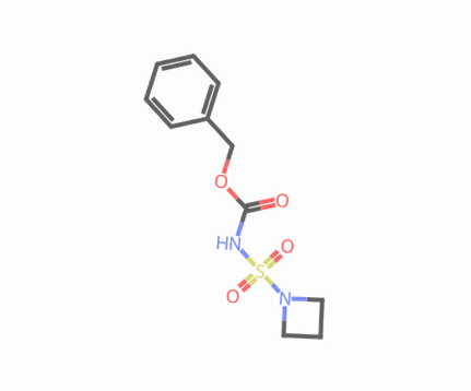 O=C(NS(=O)(=O)N1CCC1)OCc1ccccc1